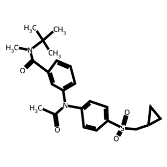 CC(=O)N(c1ccc(S(=O)(=O)CC2CC2)cc1)c1cccc(C(=O)N(C)C(C)(C)C)c1